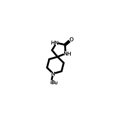 CCC(C)N1CCC2(CC1)CNC(=O)N2